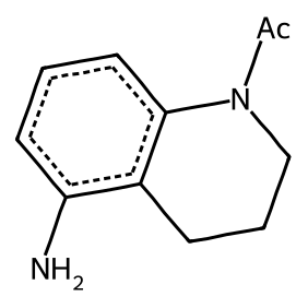 CC(=O)N1CCCc2c(N)cccc21